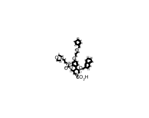 O=C(NCCN1CCOCC1)OCC1CN(C(=O)O)CC(OCc2ccc3ccccc3c2)C1c1ccc(OCCCOCc2ccccc2)cc1